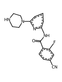 N#Cc1ccc(C(=O)Nc2cccc(N3CCNCC3)n2)c(F)c1